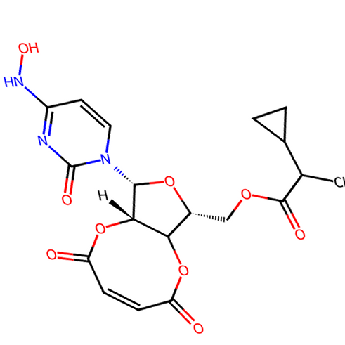 CC(C(=O)OC[C@H]1O[C@@H](n2ccc(NO)nc2=O)[C@H]2OC(=O)/C=C\C(=O)OC12)C1CC1